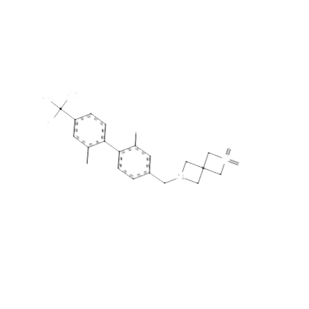 CCc1cc(CN2CC3(C2)CS(=O)(=O)C3)ccc1-c1ccc(C(O)(C(F)(F)F)C(F)(F)F)cc1C